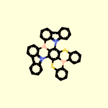 c1ccc2c(c1)Sc1c3c(c4c5c1-n1c6ccccc6c6cccc(c61)B5c1cccc5c6ccccc6n-4c15)Sc1ccccc1B23